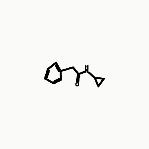 O=C(Cc1ccccc1)NC1CC1